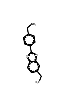 CCc1ccc2oc(-c3ccc(CN)cc3)nc2c1